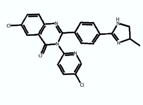 CC1CNC(c2ccc(-c3nc4ccc(Cl)cc4c(=O)n3-c3ccc(Cl)cn3)cc2)=N1